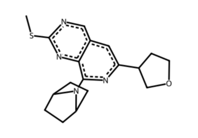 CSc1ncc2cc(C3CCOC3)nc(N3C4CCC3CC4)c2n1